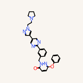 O=c1ccc(Oc2ccccc2)nn1Cc1cccc(-c2ncc(-c3cnn(CCN4CCCC4)c3)cn2)c1